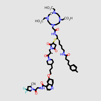 Cc1ccc(CCCC(=O)NCCCCC[C@H](CNC(=O)CN2CCN(CC(=O)O)CCN(CC(=O)O)CCN(CC(=O)O)CC2)SC2CC(=O)N(C[C@@H](C)C(=O)N3CCC(CCCOc4ccc5nccc(C(=O)NCC(=O)N6CC(F)(F)C[C@@H]6C#N)c5c4)CC3)C2=O)cc1